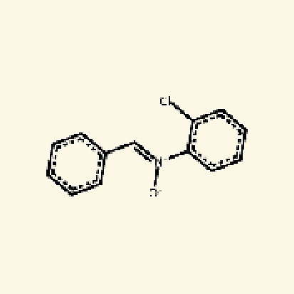 [O-][N+](=Cc1ccccc1)c1ccccc1Cl